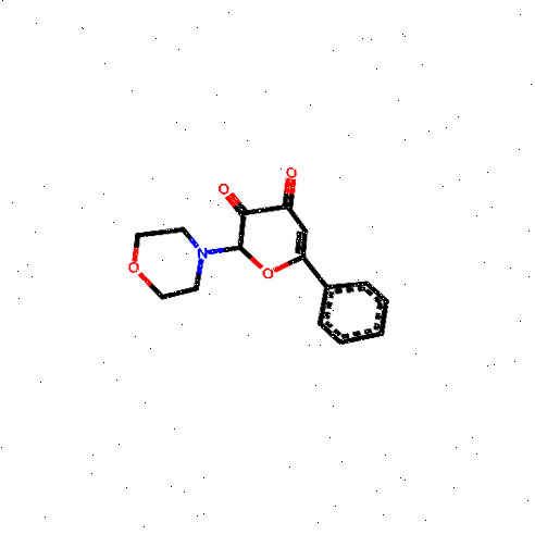 O=C1C=C(c2ccccc2)OC(N2CCOCC2)C1=O